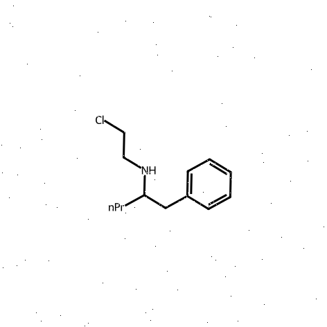 CCCC(Cc1ccccc1)NCCCl